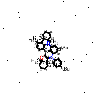 CC(C)(C)c1ccc(N2C3=C(OC4(C)CCCCC34C)B3c4ccc(C(C)(C)C)c5c4N(c4cc(C(C)(C)C)cc2c43)C2(C)CCCCC52C)cc1